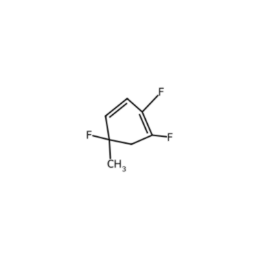 CC1(F)C=CC(F)=C(F)C1